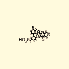 COc1ccc(CC(=O)O)cc1-c1ccc(F)c2c1CN(C(=O)CC(C)c1ccccc1)CC2